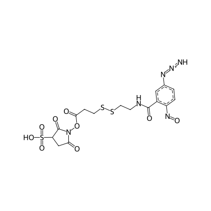 N=[N+]=Nc1ccc(N=O)c(C(=O)NCCSSCCC(=O)ON2C(=O)CC(S(=O)(=O)O)C2=O)c1